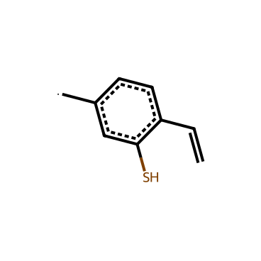 [CH2]c1ccc(C=C)c(S)c1